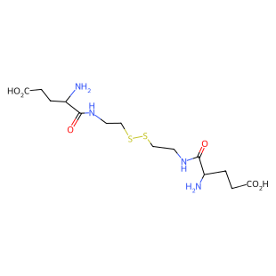 NC(CCC(=O)O)C(=O)NCCSSCCNC(=O)C(N)CCC(=O)O